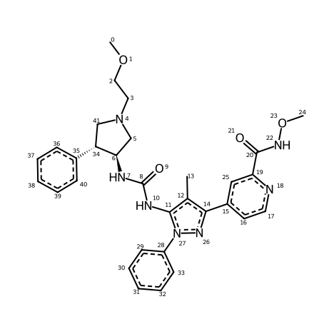 COCCN1C[C@@H](NC(=O)Nc2c(C)c(-c3ccnc(C(=O)NOC)c3)nn2-c2ccccc2)[C@H](c2ccccc2)C1